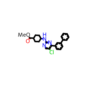 COC(=O)C1CCC(Nc2ncc(Cl)c(-c3cccc(-c4ccccc4)c3)n2)CC1